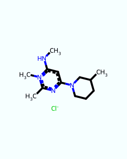 CNc1cc(N2CCCC(C)C2)nc(C)[n+]1C.[Cl-]